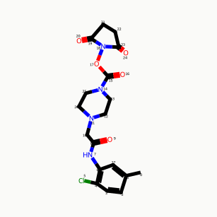 Cc1ccc(Cl)c(NC(=O)CN2CCN(C(=O)ON3C(=O)CCC3=O)CC2)c1